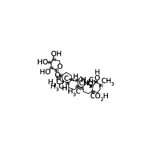 C[C@@H]1CC[C@]2(C(=O)O)CC[C@]3(C)C(=CC[C@@H]4[C@@]5(C)CC[C@H](O[C@@H]6OC[C@H](O)[C@H](O)[C@H]6O)C(C)(C)[C@@H]5CC[C@]43C)[C@@H]2[C@]1(C)O